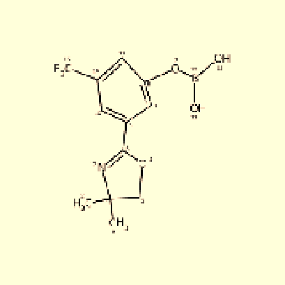 CC1(C)COC(c2cc(OB(O)O)cc(C(F)(F)F)c2)=N1